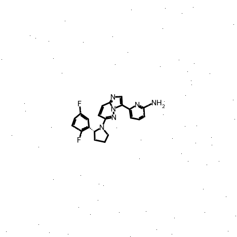 Nc1cccc(-c2cnc3ccc(N4CCC[C@@H]4c4cc(F)ccc4F)nn23)n1